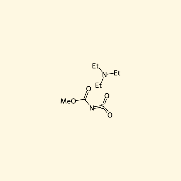 CCN(CC)CC.COC(=O)N=S(=O)=O